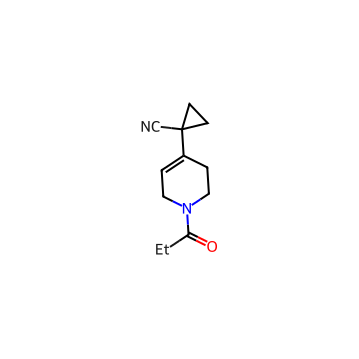 CCC(=O)N1CC=C(C2(C#N)CC2)CC1